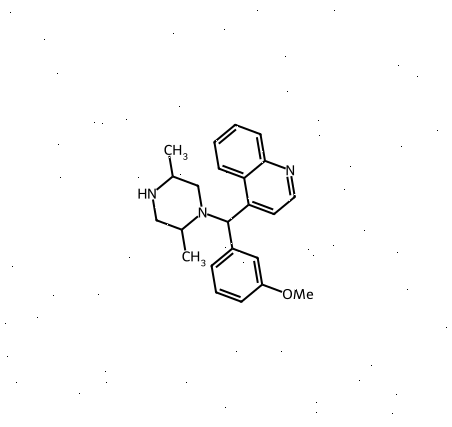 COc1cccc(C(c2ccnc3ccccc23)N2CC(C)NCC2C)c1